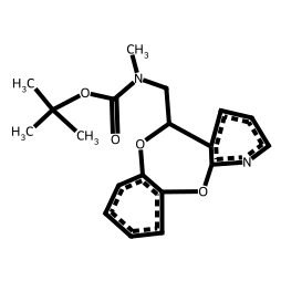 CN(CC1Oc2ccccc2Oc2ncccc21)C(=O)OC(C)(C)C